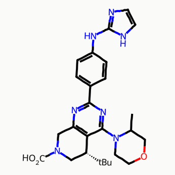 CC1COCCN1c1nc(-c2ccc(Nc3ncc[nH]3)cc2)nc2c1[C@H](C(C)(C)C)CN(C(=O)O)C2